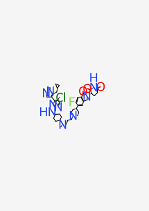 CN(CCCN1CCC(c2cc3c(cc2F)C(=O)N(C2CCC(=O)NC2=O)C3)CC1)C1CCC(Nc2ncc(Cl)c(-c3cnn(C)c3CC3CC3)n2)CC1